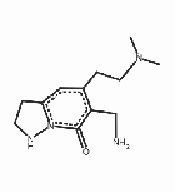 CN(C)CCc1cc2n(c(=O)c1CN)NCC2